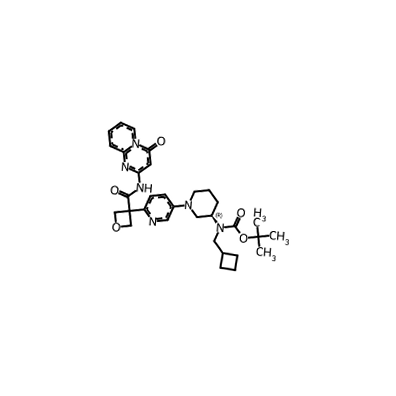 CC(C)(C)OC(=O)N(CC1CCC1)[C@@H]1CCCN(c2ccc(C3(C(=O)Nc4cc(=O)n5ccccc5n4)COC3)nc2)C1